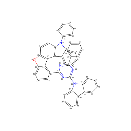 C1=CC2C(c3ccccc3N2c2ccccc2)c2c1oc1cccc(-c3nc(-c4ccccc4)nc(-n4c5ccccc5c5ccccc54)n3)c21